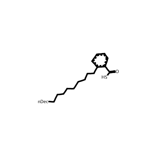 CCCCCCCCCCCCCCCCCCCc1ccccc1C(=O)S